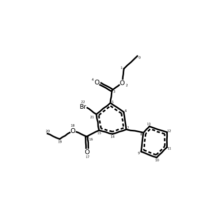 CCOC(=O)c1cc(-c2ccccc2)cc(C(=O)OCC)c1Br